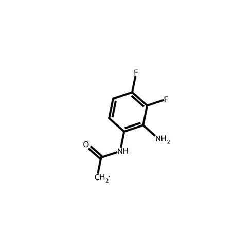 [CH2]C(=O)Nc1ccc(F)c(F)c1N